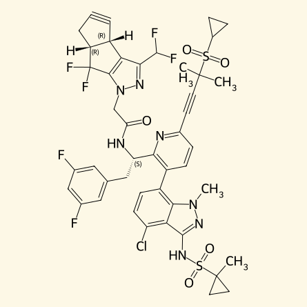 Cn1nc(NS(=O)(=O)C2(C)CC2)c2c(Cl)ccc(-c3ccc(C#CC(C)(C)S(=O)(=O)C4CC4)nc3[C@H](Cc3cc(F)cc(F)c3)NC(=O)Cn3nc(C(F)F)c4c3C(F)(F)[C@@H]3CC#C[C@H]43)c21